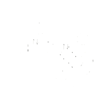 c1ccc(-c2nc(-c3ccc4c(c3)c3ccccc3n4-c3ccccc3)nc(N3c4c(ccc5ccccc45)-c4cccc5cccc3c45)n2)cc1